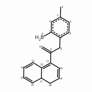 Bc1cc(C)ccc1CC(=C)C1=C2C=CC=CC2CC=C1